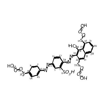 O=S(=O)(O)c1cc(/N=N/c2ccc(SOOO)cc2)ccc1/N=N/c1c(SOOO)cc2cccc(SOOO)c2c1O